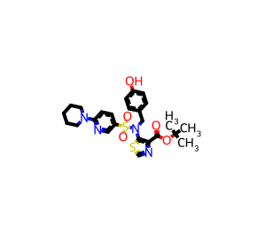 CC(C)(C)OC(=O)c1ncsc1N(Cc1ccc(O)cc1)S(=O)(=O)c1ccc(N2CCCCC2)nc1